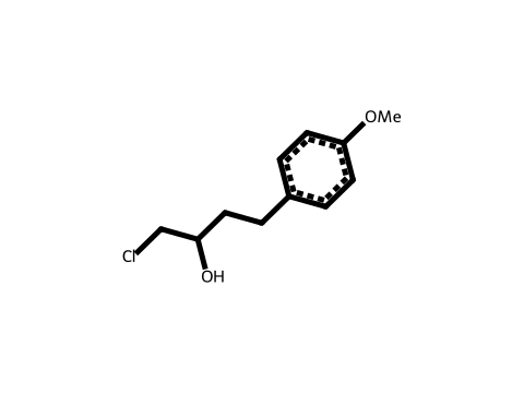 COc1ccc(CCC(O)CCl)cc1